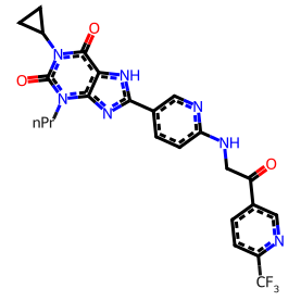 CCCn1c(=O)n(C2CC2)c(=O)c2[nH]c(-c3ccc(NCC(=O)c4ccc(C(F)(F)F)nc4)nc3)nc21